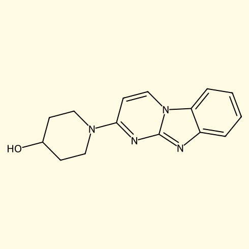 OC1CCN(c2ccn3c(n2)nc2ccccc23)CC1